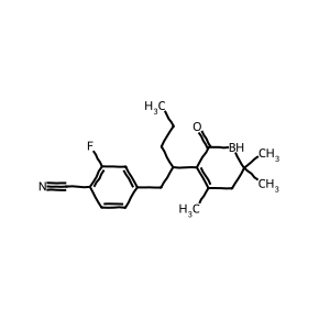 CCCC(Cc1ccc(C#N)c(F)c1)C1=C(C)CC(C)(C)BC1=O